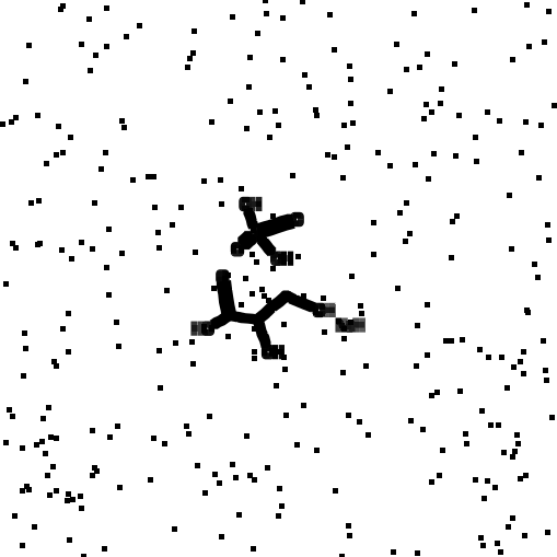 O=C(O)C(O)CO.O=S(=O)(O)O.[NaH]